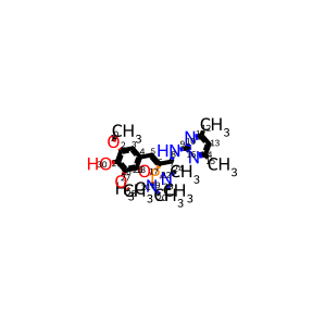 COc1cc(C=C(CNc2nc(C)cc(C)n2)P(=O)(N(C)C)N(C)C)cc(OC)c1O